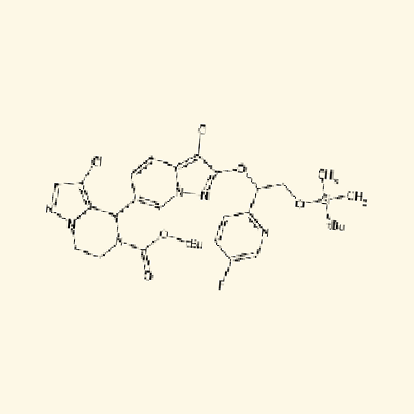 CC(C)(C)OC(=O)N1CCn2ncc(Cl)c2C1c1ccc2c(Cl)c(OC(CO[Si](C)(C)C(C)(C)C)c3ccc(F)cn3)nn2c1